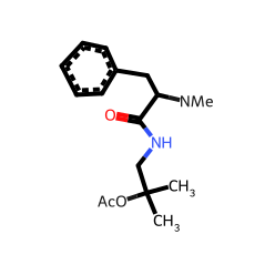 CNC(Cc1ccccc1)C(=O)NCC(C)(C)OC(C)=O